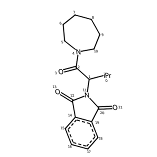 CC(C)C(C(=O)N1CCCCCC1)N1C(=O)c2ccccc2C1=O